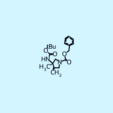 C=C1CN(C(=O)OCc2ccccc2)C[C@@]1(C)NC(=O)OC(C)(C)C